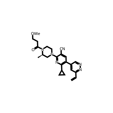 C=Cc1cc(-c2cc(C#N)c(N3CCN(C(=O)CCOC)[C@H](C)C3)nc2C2CC2)cnn1